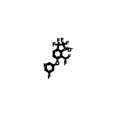 [O-][S+]1c2c(ccc(Oc3cncc(F)c3)c2C(F)F)C(F)(F)C1(F)F